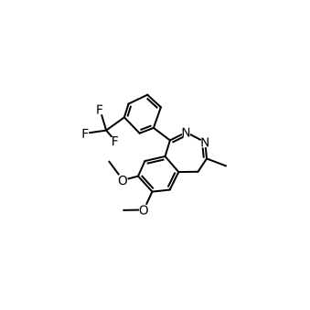 COc1cc2c(cc1OC)C(c1cccc(C(F)(F)F)c1)=NN=C(C)C2